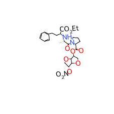 CCOC(=O)[C@H](CCc1ccccc1)N[C@@H](C)C(=O)N1CCCC1C(=O)OC1COC2C1OC[C@H]2O[N+](=O)[O-]